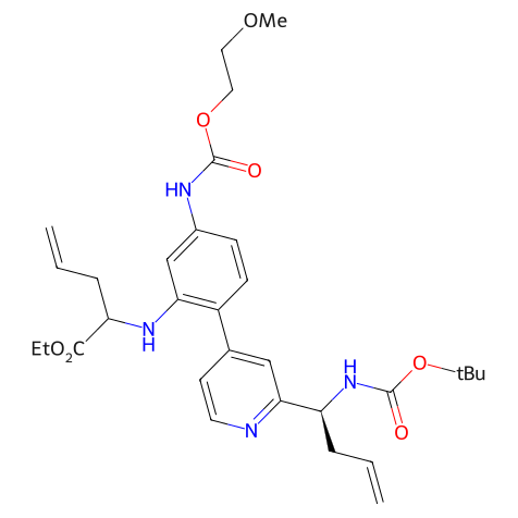 C=CCC(Nc1cc(NC(=O)OCCOC)ccc1-c1ccnc([C@H](CC=C)NC(=O)OC(C)(C)C)c1)C(=O)OCC